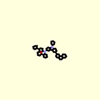 c1ccc(-c2ccc(N(c3ccc4c(c3)c3cc(-c5ccc6ccc7ccccc7c6c5)ccc3n4-c3ccccc3)c3ccccc3-c3ccccc3)cc2)cc1